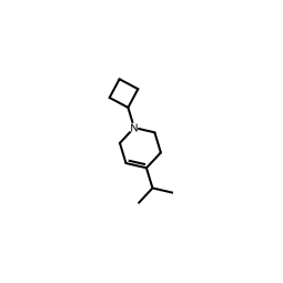 CC(C)C1=CCN(C2CCC2)CC1